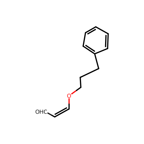 O=C/C=C\OCCCc1ccccc1